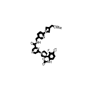 COCC1CN(c2ccc(CNC(=O)c3cncc(N4CC[C@]5(C4)OC(=O)Nc4ccc(Cl)c(F)c45)n3)cn2)C1